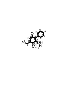 CC(C)Cc1[nH]c(=O)c(-c2ccccc2)c(O)c1C(=O)O